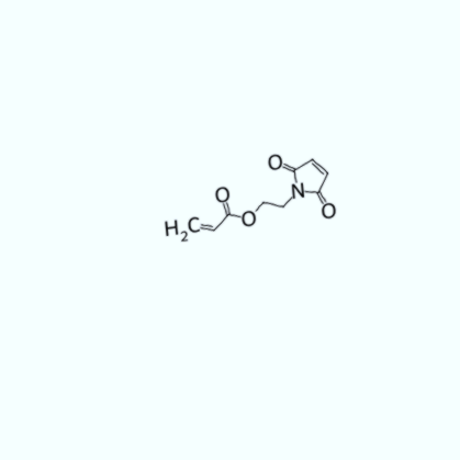 C=CC(=O)OCCN1C(=O)C=CC1=O